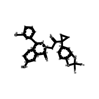 O=C(Cn1nc(-c2cccc(Cl)c2)c2ccc(O)cc2c1=O)C1(c2ccc3c(c2)OC(F)(F)O3)CC1